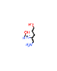 CCCO.NCC(N)CCCO